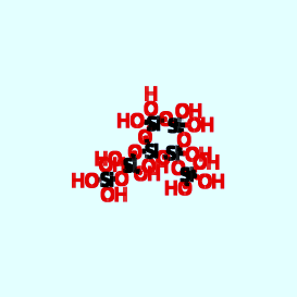 O[Si](O)(O)O[Si](O)(O)O[Si]1(O)O[Si](O)(O)O[Si](O)(O)O[Si](O)(O[Si](O)(O)O)O1